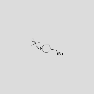 CC(C)(C)CC1CCN(N=S(C)(C)=O)CC1